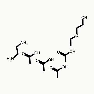 CC(=O)O.CC(=O)O.CC(=O)O.CC(=O)O.CCOCCO.NCCN